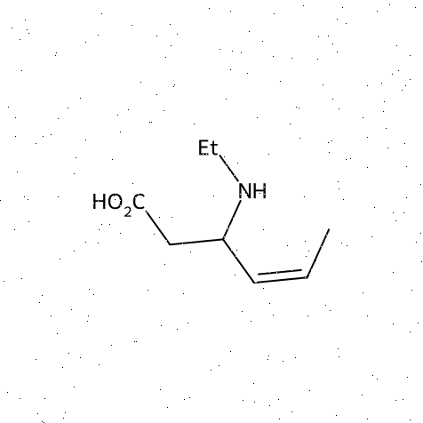 C/C=C\C(CC(=O)O)NCC